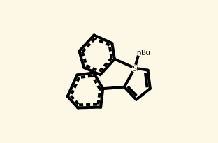 CCCC[Si]1(c2ccccc2)C=CC=C1c1ccccc1